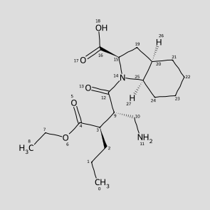 CCC[C@@H](C(=O)OCC)[C@@H](CN)C(=O)N1[C@@H](C(=O)O)C[C@H]2CCCC[C@H]21